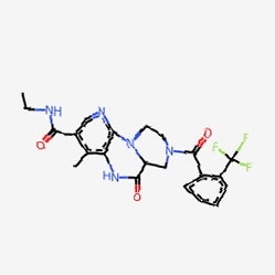 CCNC(=O)c1cnc2c(c1C)NC(=O)C1CN(C(=O)c3ccccc3C(F)(F)F)CCN21